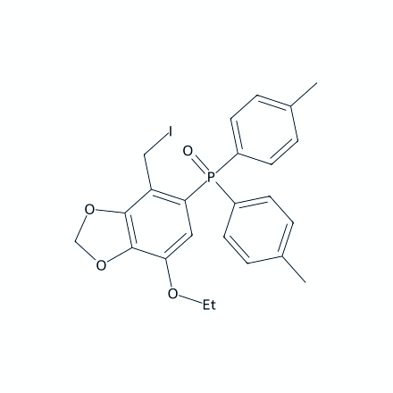 CCOc1cc(P(=O)(c2ccc(C)cc2)c2ccc(C)cc2)c(CI)c2c1OCO2